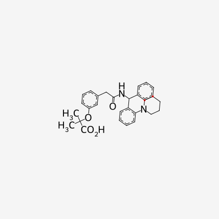 CC(C)(Oc1cccc(CC(=O)NC(c2ccccc2)c2ccccc2N2CCCCC2)c1)C(=O)O